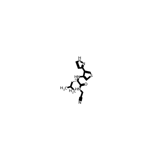 CC(C)C[C@H](Nc1cscc1-c1cc[nH]n1)C(=O)NCC#N